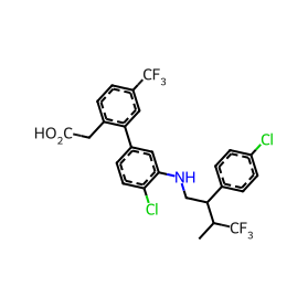 CC(C(CNc1cc(-c2cc(C(F)(F)F)ccc2CC(=O)O)ccc1Cl)c1ccc(Cl)cc1)C(F)(F)F